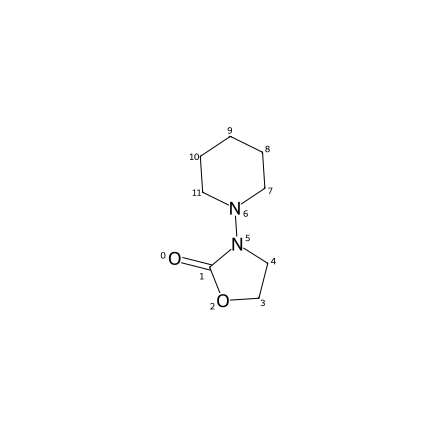 O=C1OCCN1N1CCCCC1